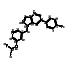 Fc1ccc(-c2cnc3cnn(Cc4cncc(OC(F)F)c4)c3c2)cc1